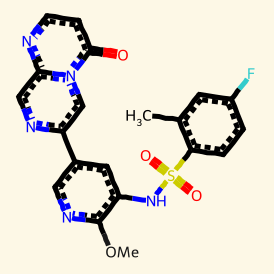 COc1ncc(-c2cn3c(=O)ccnc3cn2)cc1NS(=O)(=O)c1ccc(F)cc1C